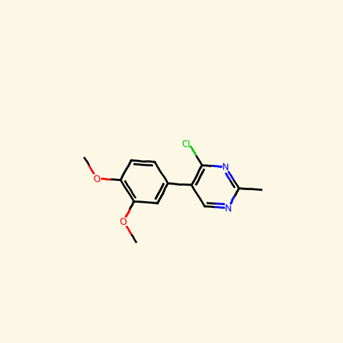 COc1ccc(-c2cnc(C)nc2Cl)cc1OC